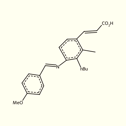 CCCCc1c(N=Cc2ccc(OC)cc2)ccc(C=CC(=O)O)c1C